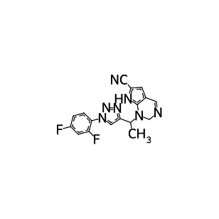 CC(c1cn(-c2ccc(F)cc2F)nn1)N1CN=Cc2cc(C#N)[nH]c21